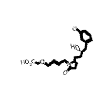 O=C(O)COCCCCN1C(=O)CCC1/C=C/[C@H](O)Cc1cccc(Cl)c1